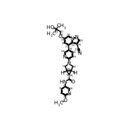 COc1ccc(NC(=O)[C@H]2[C@@H]3CN(c4ccc(-c5cc(OCC(C)(C)O)cn6ncc(C#N)c56)cn4)C[C@@H]32)cn1